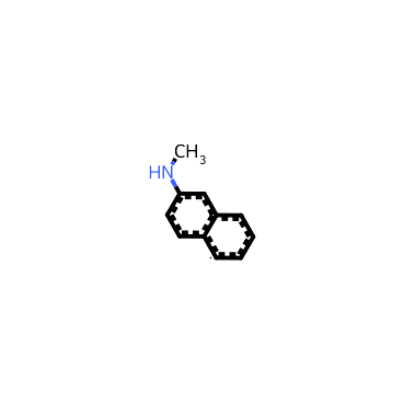 CNc1ccc2[c]cccc2c1